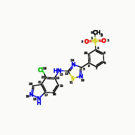 CS(=O)(=O)c1cccc(-c2nsc(Nc3ccc4[nH]ncc4c3Cl)n2)c1